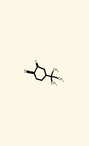 CC(C)(C)C1CCC(=O)C(=O)C1